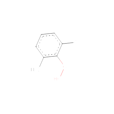 Cc1[c]ccc(C)c1OO